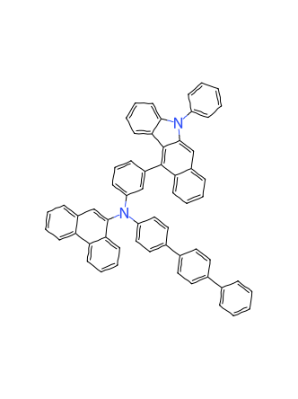 c1ccc(-c2ccc(-c3ccc(N(c4cccc(-c5c6ccccc6cc6c5c5ccccc5n6-c5ccccc5)c4)c4cc5ccccc5c5ccccc45)cc3)cc2)cc1